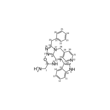 NCC(=O)N[C@H](Cc1c[nH]c2ccccc12)c1nnc(Cc2ccccc2)n1Cc1ccncc1